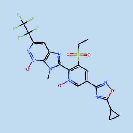 CCS(=O)(=O)c1cc(-c2noc(C3CC3)n2)c[n+]([O-])c1-c1nc2cc(C(F)(F)C(F)(F)F)n[n+]([O-])c2n1C